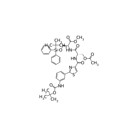 COC(=O)[C@H](CO[Si](c1ccccc1)(c1ccccc1)C(C)(C)C)NC(=O)[C@H](COC(C)=O)NC(=O)c1csc(-c2cccc(NC(=O)OC(C)(C)C)c2)n1